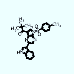 Cc1ccc(S(=O)(=O)n2cc(C(=O)C(C)(C)C)c3nc(-c4c[nH]c5ccccc45)cnc32)cc1